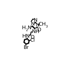 CN1C(=O)C(NCC(=O)Nc2ccc(Br)cc2Cl)=C(N)N2CCN=C12